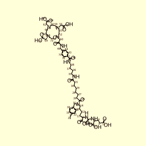 O=C(O)CCC(NC(=O)NC(CCCCN(Cc1ccc(I)cc1)C(=O)CCCCCCC(=O)NCCCCNC(=O)c1ccc(CNC(=O)CN2CCN(CC(=O)O)CCN(CC(=O)O)CCN(CC(=O)O)CC2)cc1)C(=O)O)C(=O)O